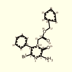 Nc1nc(Br)c(-c2ccccc2)n(CC(=O)OCc2ccccc2)c1=O